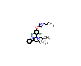 CCCN1CC(Oc2cc(F)c(C3c4[nH]c5ccccc5c4CC(C)N3CC(C)C)c(F)c2)C1